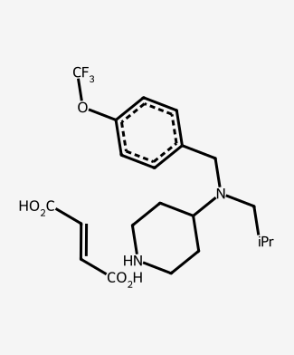 CC(C)CN(Cc1ccc(OC(F)(F)F)cc1)C1CCNCC1.O=C(O)/C=C/C(=O)O